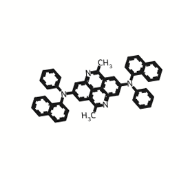 Cc1nc2cc(N(c3ccccc3)c3cccc4ccccc34)cc3c(C)nc4cc(N(c5ccccc5)c5cccc6ccccc56)cc1c4c23